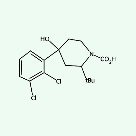 CC(C)(C)C1CC(O)(c2cccc(Cl)c2Cl)CCN1C(=O)O